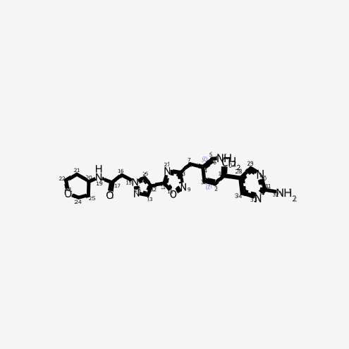 C=C(/C=C\C(=C/N)Cc1noc(-c2cnn(CC(=O)NC3CCOCC3)c2)n1)c1cnc(N)nc1